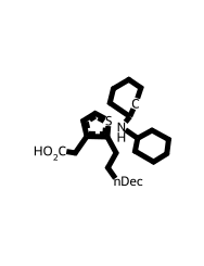 C1CCC(NC2CCCCC2)CC1.CCCCCCCCCCCCc1sccc1CC(=O)O